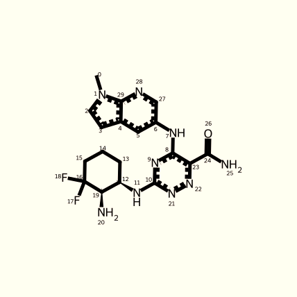 Cn1ccc2cc(Nc3nc(N[C@@H]4CCCC(F)(F)[C@@H]4N)nnc3C(N)=O)cnc21